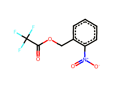 O=C(OCc1ccccc1[N+](=O)[O-])C(F)(F)F